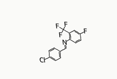 Fc1ccc(/N=C/c2ccc(Cl)cc2)c(C(F)(F)F)c1